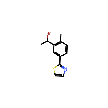 Cc1ccc(-c2nccs2)cc1C(C)Br